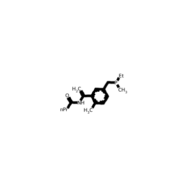 C=C(NC(=O)CCC)c1cc(CP(C)CC)ccc1C